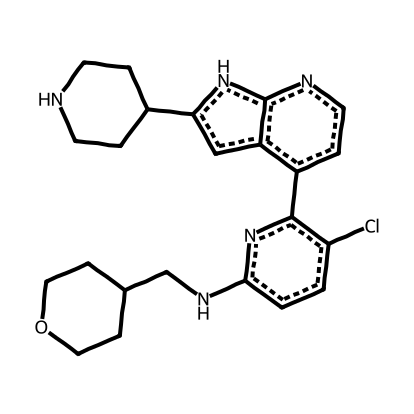 Clc1ccc(NCC2CCOCC2)nc1-c1ccnc2[nH]c(C3CCNCC3)cc12